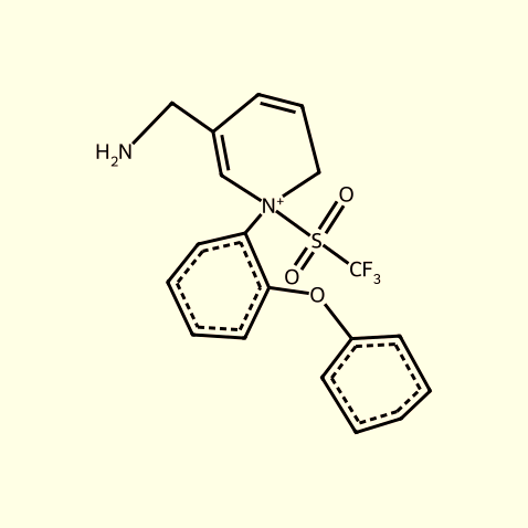 NCC1=C[N+](c2ccccc2Oc2ccccc2)(S(=O)(=O)C(F)(F)F)CC=C1